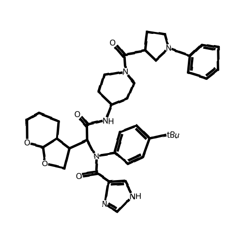 CC(C)(C)c1ccc(N(C(=O)c2c[nH]cn2)C(C(=O)NC2CCN(C(=O)C3CCN(c4ccccc4)C3)CC2)C2COC3OCCCC32)cc1